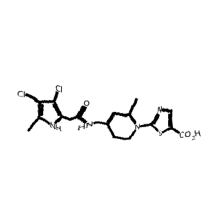 Cc1[nH]c(C(=O)NC2CCN(c3ncc(C(=O)O)s3)C(C)C2)c(Cl)c1Cl